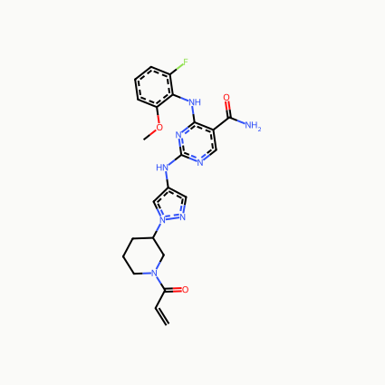 C=CC(=O)N1CCCC(n2cc(Nc3ncc(C(N)=O)c(Nc4c(F)cccc4OC)n3)cn2)C1